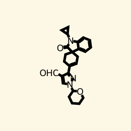 O=Cc1cn(C2CCCCO2)nc1C1=CCC2(CC1)C(=O)N(C1CC1)c1ccccc12